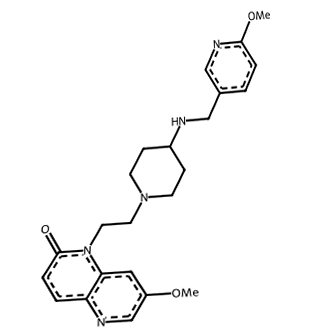 COc1cnc2ccc(=O)n(CCN3CCC(NCc4ccc(OC)nc4)CC3)c2c1